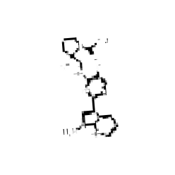 CNC(=O)N1CCC[C@@]1(N)CNc1nc(C2=CN(N)C3NC=CC=C23)ncc1F